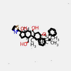 CC(C)(C)[Si](O[C@H]1CC[C@](C)(C2CC[C@@]3(C)C(CC[C@@]3(O)c3nccs3)[C@@H]2CO)[C@@H](CO)C1)(c1ccccc1)c1ccccc1